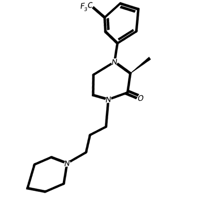 C[C@H]1C(=O)N(CCCN2CCCCC2)CCN1c1cccc(C(F)(F)F)c1